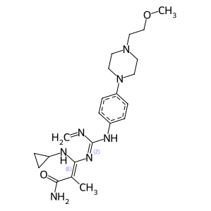 C=N/C(=N\C(NC1CC1)=C(/C)C(N)=O)Nc1ccc(N2CCN(CCOC)CC2)cc1